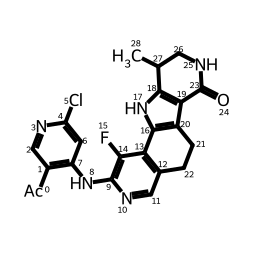 CC(=O)c1cnc(Cl)cc1Nc1ncc2c(c1F)-c1[nH]c3c(c1CC2)C(=O)NCC3C